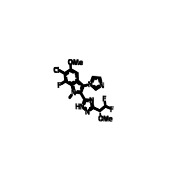 COc1cc2c(-n3ccnc3)c(-c3nc([C@@H](OC)C(F)F)n[nH]3)n(C)c2c(F)c1Cl